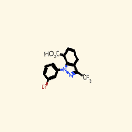 O=C(O)C1CCCc2c(C(F)(F)F)nn(-c3cccc(Br)c3)c21